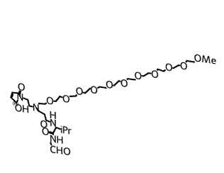 COCCOCCOCCOCCOCCOCCOCCOCCOCCOCCOCCN(CCC(=O)NC(C(=O)NCC=O)C(C)C)CCN1C(=O)C=C[C@H]1O